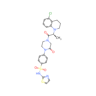 C[C@@H](C(=O)N1CCN(c2ccc(S(=O)(=O)Nc3nccs3)cc2)C(=O)C1)N1CCCc2c(Cl)cccc21